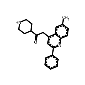 Cc1ccc2nc(-c3ccccc3)cc(CC(=O)C3CCNCC3)c2c1